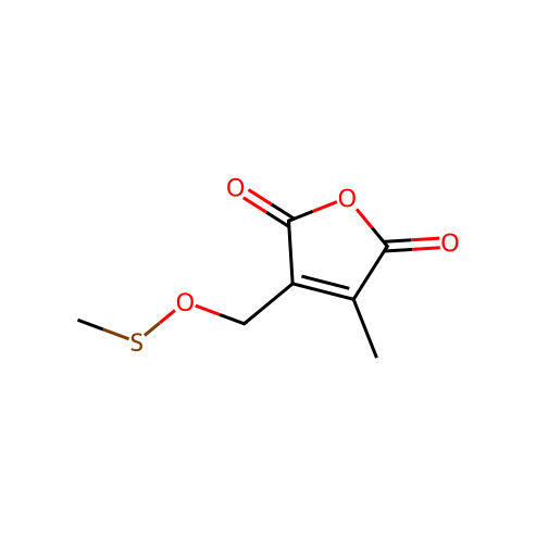 CSOCC1=C(C)C(=O)OC1=O